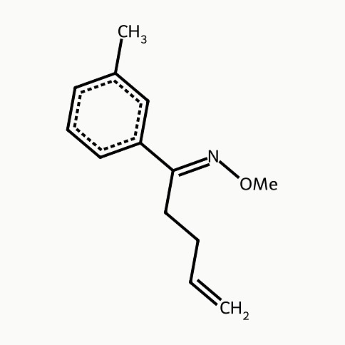 C=CCCC(=NOC)c1cccc(C)c1